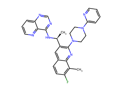 Cc1c(F)ccc2cc([C@H](C)Nc3ncnc4cccnc34)c(N3CCN(c4ccccn4)CC3)nc12